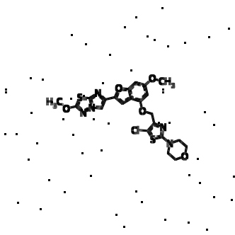 COc1cc(OCc2nc(N3CCOCC3)sc2Cl)c2cc(-c3cn4nc(OC)sc4n3)oc2c1